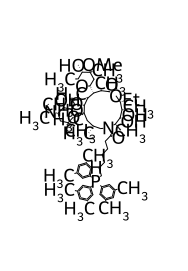 CC[C@H]1OC(=O)[C@H](C)[C@@H](C2C[C@@](C)(OC)[C@@H](O)[C@H](C)O2)[C@H](C)[C@@H](O[C@@H]2O[C@H](C)C[C@H](N(C)C)[C@H]2O)[C@](C)(O)C[C@@H](C)CN(C(=O)CCCCCC[PH](c2cc(C)cc(C)c2)(c2cc(C)cc(C)c2)c2cc(C)cc(C)c2)[C@H](C)[C@@H](O)[C@]1(C)O